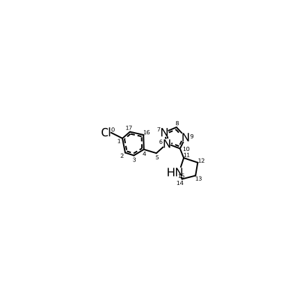 Clc1ccc(Cn2ncnc2C2CCCN2)cc1